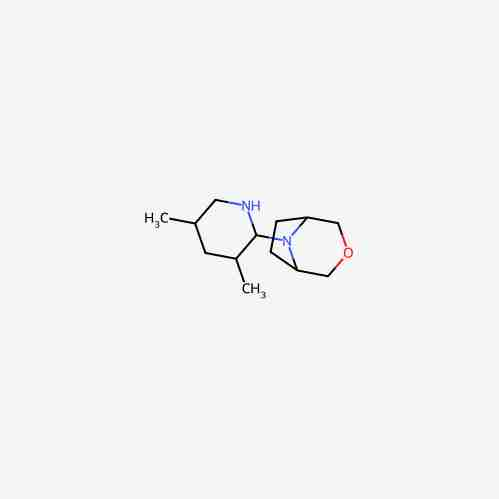 CC1CNC(N2C3CCC2COC3)C(C)C1